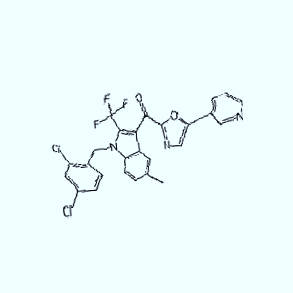 Cc1ccc2c(c1)c(C(=O)c1ncc(-c3cccnc3)o1)c(C(F)(F)F)n2Cc1ccc(Cl)cc1Cl